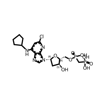 O=P(O)(O)CP(=O)(O)OC[C@H]1O[C@@H](n2cnc3c(NC4CCCC4)cc(Cl)nc32)C[C@@H]1O